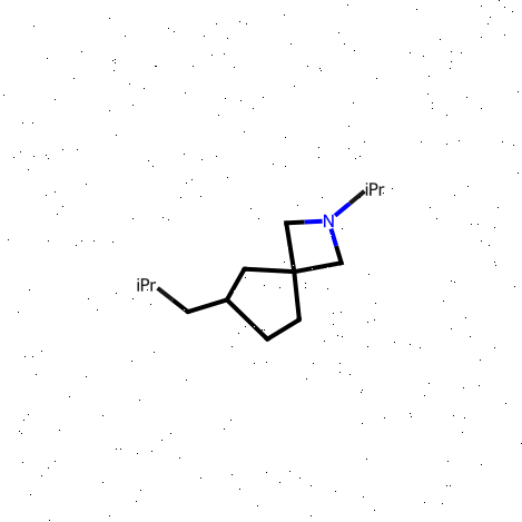 CC(C)CC1CCC2(C1)CN(C(C)C)C2